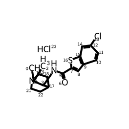 CC1(C)C(NC(=O)c2cc3ccc(Cl)cc3s2)C2CCN1CC2.Cl